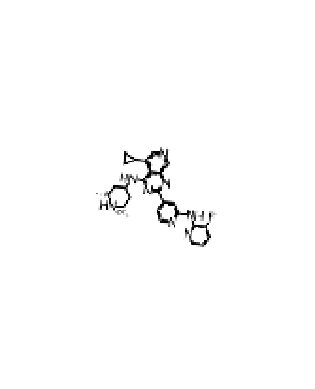 C[C@@H]1CC(Nc2nc(-c3ccnc(Nc4ncccc4F)c3)nc3cncc(C4CC4)c23)C[C@H](C)N1